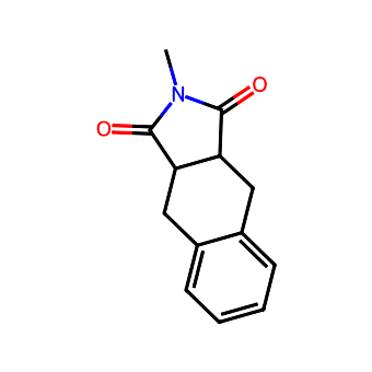 CN1C(=O)C2Cc3ccccc3CC2C1=O